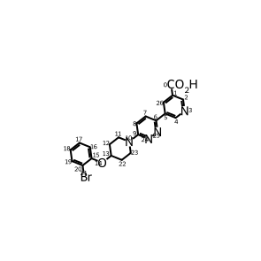 O=C(O)c1cncc(-c2ccc(N3CCC(Oc4ccccc4Br)CC3)nn2)c1